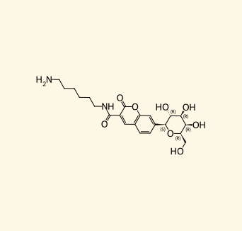 NCCCCCCNC(=O)c1cc2ccc([C@@H]3O[C@H](CO)[C@H](O)[C@H](O)[C@H]3O)cc2oc1=O